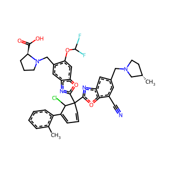 Cc1ccccc1C1=CC=CC(c2nc3cc(CN4CCC[C@H]4C(=O)O)c(OC(F)F)cc3o2)(c2nc3cc(CN4CC[C@H](C)C4)cc(C#N)c3o2)C1Cl